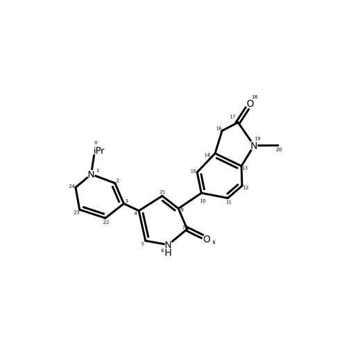 CC(C)N1C=C(c2c[nH]c(=O)c(-c3ccc4c(c3)CC(=O)N4C)c2)C=CC1